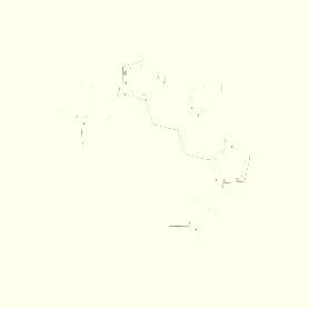 CN(C)S(=O)(=O)n1ccnc1CC(Cc1nccn1S(=O)(=O)N(C)C)NC(=O)O